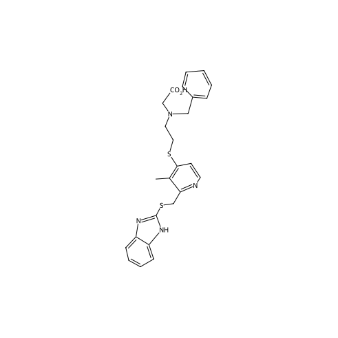 Cc1c(SCCN(CC(=O)O)Cc2ccccc2)ccnc1CSc1nc2ccccc2[nH]1